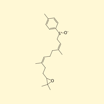 CC(=CC[S+]([O-])c1ccc(C)cc1)CCC=C(C)CCC1OC1(C)C